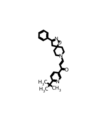 CC(C)(C)c1ccc(C(=O)C=CN2CCC3(CC2)CC(c2ccccc2)=NO3)cn1